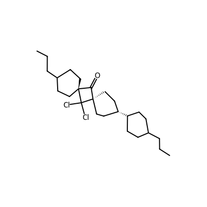 CCCC1CCC([C@H]2CC[C@@]3(CC2)C(=O)[C@]2(CCC(CCC)CC2)C3(Cl)Cl)CC1